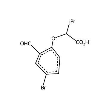 CC(C)C(Oc1ccc(Br)cc1C=O)C(=O)O